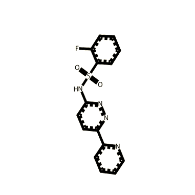 O=S(=O)(Nc1ccc(-c2ccccn2)nn1)c1ccccc1F